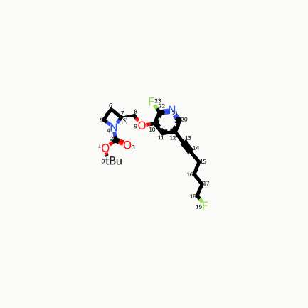 CC(C)(C)OC(=O)N1CC[C@H]1COc1cc(C#CCCCCF)cnc1F